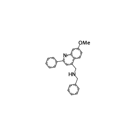 COc1ccc2c(CNCc3ccccc3)cc(-c3ccccc3)nc2c1